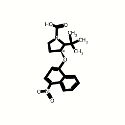 CC(C)(C)C1[C@@H](Oc2ccc([N+](=O)[O-])c3ccccc23)CCN1C(=O)O